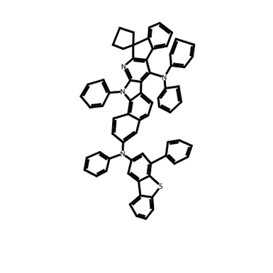 c1ccc(-c2cc(N(c3ccccc3)c3ccc4c(ccc5c6c(N(c7ccccc7)c7ccccc7)c7c(nc6n(-c6ccccc6)c45)C4(CCCC4)c4ccccc4-7)c3)cc3c2sc2ccccc23)cc1